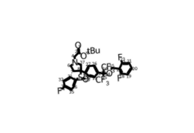 CC(C)(C)OC(=O)CN1CCC(c2ccc(C(OCc3c(F)cccc3F)(C(F)(F)F)C(F)(F)F)cc2)([S+]([O-])c2ccc(F)cc2)C1